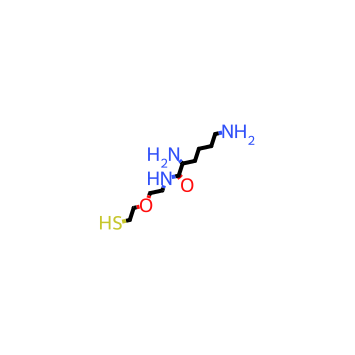 NCCCCC(N)C(=O)NCCOCCS